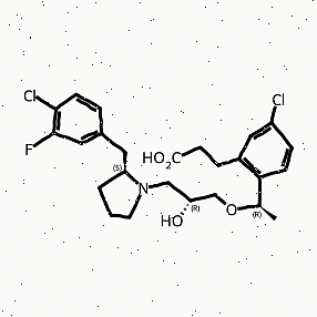 C[C@@H](OC[C@H](O)CN1CCC[C@H]1Cc1ccc(Cl)c(F)c1)c1ccc(Cl)cc1CCC(=O)O